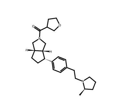 C[C@@H]1CCCN1CCc1ccc([C@@H]2CC[C@@H]3CN(C(=O)C4CCOC4)C[C@@H]32)cc1